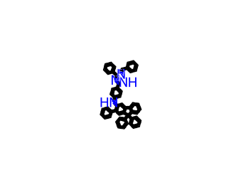 N=C(/N=C(\N=C\c1ccccc1)c1ccccc1)c1ccc(Nc2cc3c(cc2-c2ccccc2)C(c2ccccc2)(c2ccccc2)c2ccccc2-3)cc1